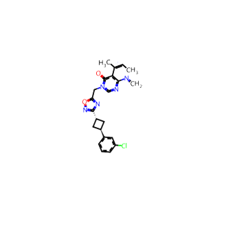 C=Nc1ncn(Cc2nc([C@H]3C[C@H](c4cccc(Cl)c4)C3)no2)c(=O)c1/C(C)=C\C